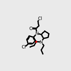 CCCN(CCC)C1CCCC1N(C(=O)CCCl)c1ccc(Cl)cc1